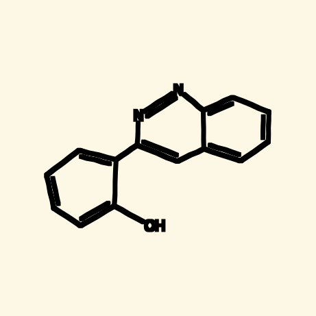 Oc1ccccc1-c1cc2ccccc2nn1